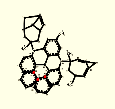 Cc1cc2c3c(c1)N(C1(C)CC4C=C5CC(C1)C54)c1cccc(-c4ccccc4)c1B3c1c(-c3ccccc3)cccc1N2C1(C)C=C2CC2=CC(C)C1